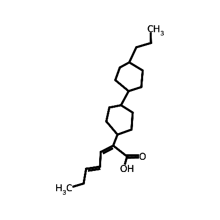 CCC=CC=C(C(=O)O)C1CCC(C2CCC(CCC)CC2)CC1